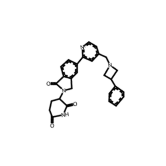 O=C1CCC(N2Cc3cc(-c4cc(CN5CC(c6ccccc6)C5)ccn4)ccc3C2=O)C(=O)N1